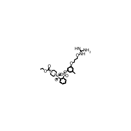 CCOC(=O)N1CCN(S(=O)(=O)c2ccccc2S(=O)(=O)Oc2cc(C)cc(OCCCONC(=N)N)c2)CC1